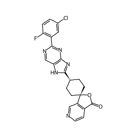 O=C1O[C@]2(CC[C@H](c3nc4nc(-c5cc(Cl)ccc5F)ncc4[nH]3)CC2)c2cnccc21